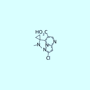 CN(C)C1(c2c(C(=O)O)cnc3cc(Cl)nn23)CC1